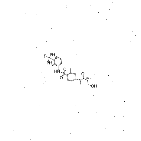 Cc1cc(N(C)C(=O)[C@H](C)CO)ccc1S(=O)(=O)Nc1cccc(C(F)(P)P)c1